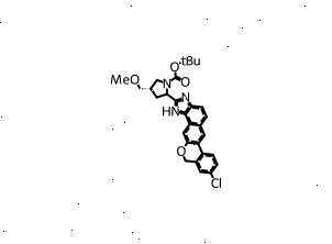 COC[C@H]1CC(c2nc3ccc4cc5c(cc4c3[nH]2)OCc2cc(Cl)ccc2-5)N(C(=O)OC(C)(C)C)C1